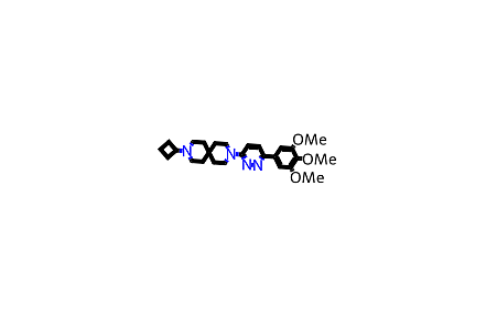 COc1cc(-c2ccc(N3CCC4(CC3)CCN(C3CCC3)CC4)nn2)cc(OC)c1OC